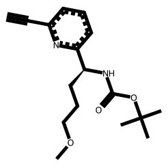 C#Cc1cccc([C@H](CCCOC)NC(=O)OC(C)(C)C)n1